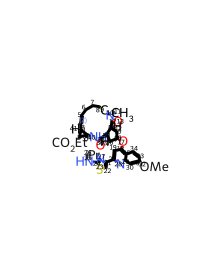 CCOC(=O)[C@@]12C[C@H]1/C=C\CCCCN(C)C(=O)[C@@H]1C[C@H](Oc3cc(-c4csc(NC(C)C)n4)nc4cc(OC)ccc34)C[C@H]1C(=O)N2